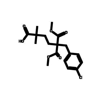 COC(=O)C(CCC(C)(C)C(=O)O)(Cc1ccc(Cl)cc1)C(=O)OC